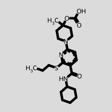 CCCSc1nc(N2CCC(C)(OC(=O)O)CC2)ccc1C(=O)NC1CCCCC1